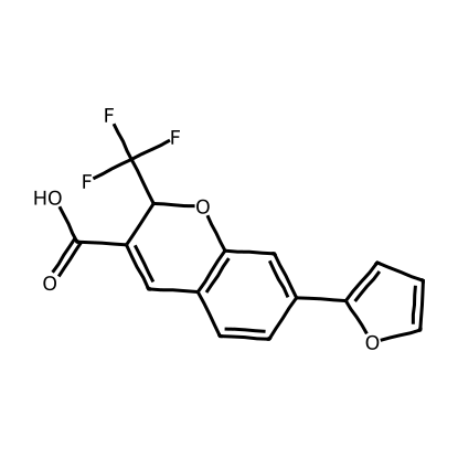 O=C(O)C1=Cc2ccc(-c3ccco3)cc2OC1C(F)(F)F